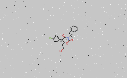 O=C1OC[C@H](Cc2ccccc2)N1C(=O)[C@@H](CCCO)c1ccc(F)cc1